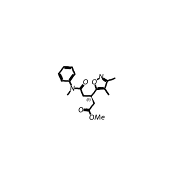 COC(=O)C[C@@H](CC(=O)N(C)c1ccccc1)c1onc(C)c1C